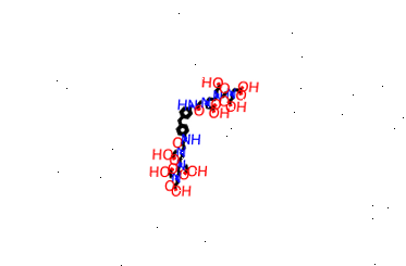 O=C(O)CN(CCN(CC(=O)O)CC(=O)O)CCN(CC(=O)O)CC(=O)Nc1ccc(Cc2ccc(NC(=O)CN(CCN(CCN(CC(=O)O)CC(=O)O)CC(=O)O)CC(=O)O)cc2)cc1